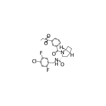 CCS(=O)(=O)c1cccc(C(=O)N2[C@@H](C(=O)NCc3cc(F)c(Cl)cc3F)C[C@H]3CC[C@H]32)c1